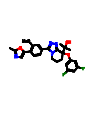 COc1cc(-c2nnc3n2CCCC3(Oc2cc(F)cc(F)c2)C(C)(C)O)ccc1-c1cnc(C)o1